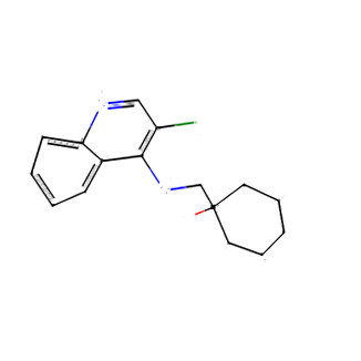 OC1(CNc2c(Br)cnc3ccccc23)CCCCC1